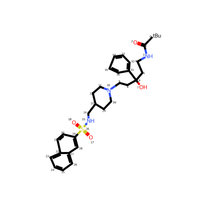 CC(C)(C)C(=O)NCCC(O)(CCN1CCC(CNS(=O)(=O)c2ccc3ccccc3c2)CC1)c1ccccc1